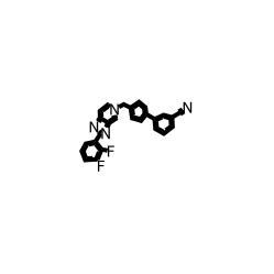 N#Cc1cccc(-c2ccc(Cn3ccc4nc(-c5cccc(F)c5F)nc-4c3)cc2)c1